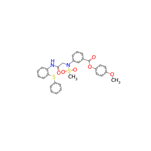 COc1ccc(OC(=O)c2cccc(N(CC(=O)Nc3ccccc3Sc3ccccc3)S(C)(=O)=O)c2)cc1